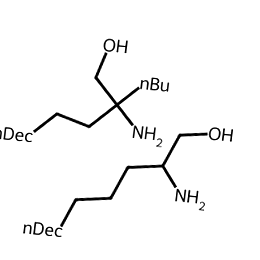 CCCCCCCCCCCCC(N)(CO)CCCC.CCCCCCCCCCCCCC(N)CO